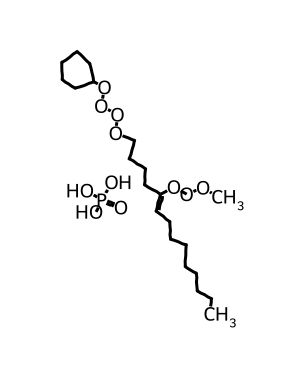 CCCCCCCCC=C(CCCCOOOOC1CCCCC1)OOOC.O=P(O)(O)O